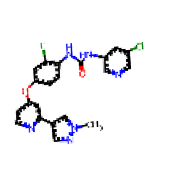 Cn1cc(-c2cc(Oc3ccc(NC(=O)Nc4cncc(Cl)c4)c(F)c3)ccn2)cn1